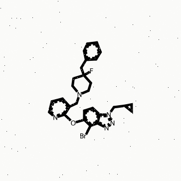 FC1(Cc2ccccc2)CCN(Cc2cccnc2Oc2ccc3c(nnn3CC3CC3)c2Br)CC1